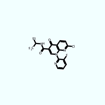 CCC(NC(=O)c1cn(-c2ncccc2F)c2nc(Cl)ccc2c1=O)C(F)(F)F